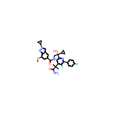 COc1cc(C(=O)NC[C@](O)(c2cc(C(C)(C)C(N)=O)c(F)c(-c3ccc(F)cc3)n2)C2CC2)cc2cn(C3CC3)nc12